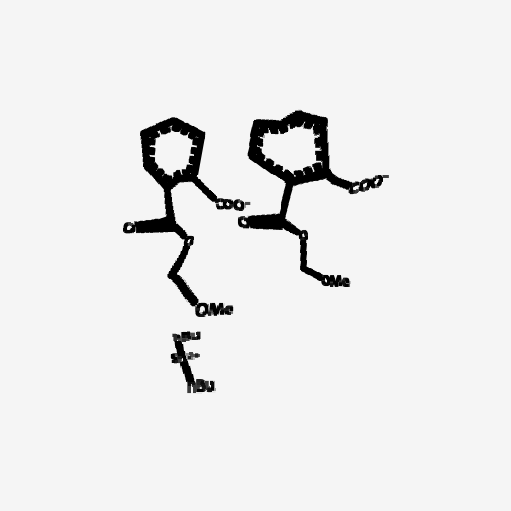 CCC[CH2][Sn+2][CH2]CCC.COCOC(=O)c1ccccc1C(=O)[O-].COCOC(=O)c1ccccc1C(=O)[O-]